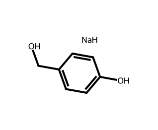 OCc1ccc(O)cc1.[NaH]